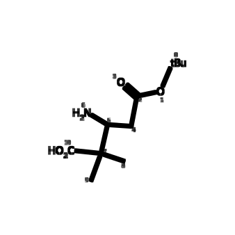 CC(C)(C)OC(=O)CC(N)C(C)(C)C(=O)O